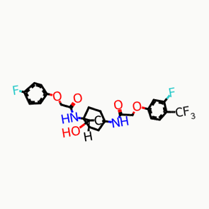 O=C(COc1ccc(C(F)(F)F)c(F)c1)NC12CCC(NC(=O)COc3ccc(F)cc3)(CC1)[C@@H](O)C2